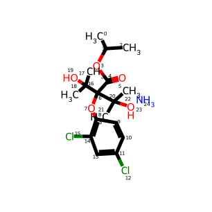 CC(C)OC(=O)C(Oc1ccc(Cl)cc1Cl)(C(C)(C)O)C(C)(C)O.N